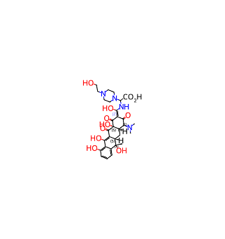 CN(C)[C@@H]1C(=O)/C(=C(/O)NC(C(=O)O)N2CCN(CCO)CC2)C(=O)[C@@]2(O)C(=O)C3=C(O)c4c(O)cccc4[C@@](C)(O)[C@H]3C[C@@H]12